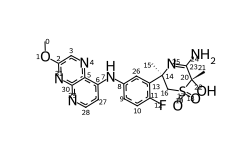 COc1cnc2c(Nc3ccc(F)c([C@]4(C)CS(=O)(=O)[C@@](C)(O)C(N)=N4)c3)ccnc2n1